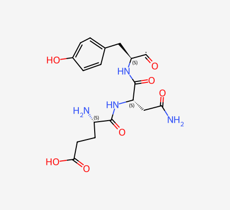 NC(=O)C[C@H](NC(=O)[C@@H](N)CCC(=O)O)C(=O)N[C@H]([C]=O)Cc1ccc(O)cc1